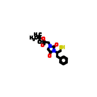 CC(C)(C)OC(=O)CN1CC(=O)N(C(CS)Cc2ccccc2)C1=O